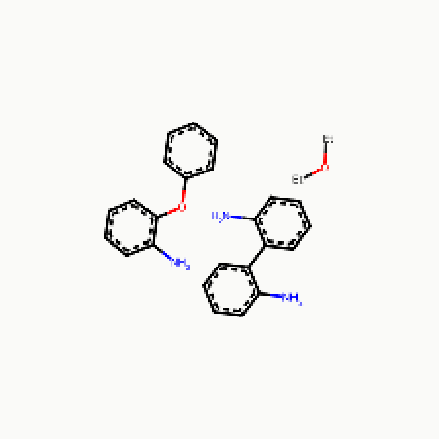 CCOCC.Nc1ccccc1-c1ccccc1N.Nc1ccccc1Oc1ccccc1